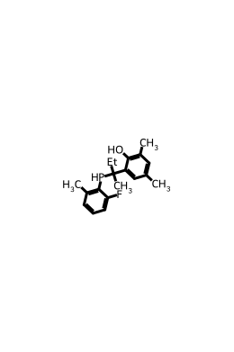 CCC(C)(Pc1c(C)cccc1F)c1cc(C)cc(C)c1O